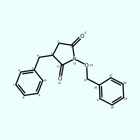 O=C1CC(Cc2ccccc2)C(=O)N1OCc1ccccc1